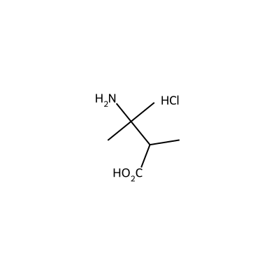 CC(C(=O)O)C(C)(C)N.Cl